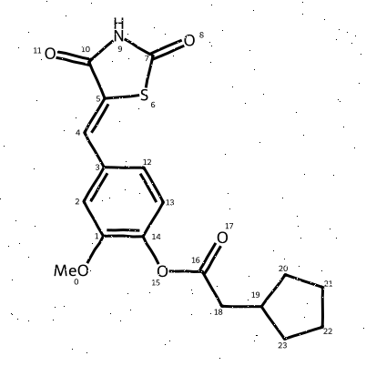 COc1cc(/C=C2\SC(=O)NC2=O)ccc1OC(=O)CC1CCCC1